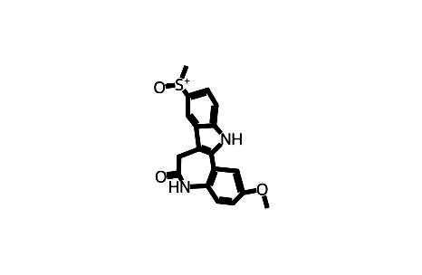 COc1ccc2c(c1)-c1[nH]c3ccc([S+](C)[O-])cc3c1CC(=O)N2